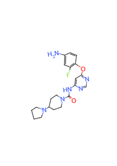 Nc1ccc(Oc2cc(NC(=O)N3CCC(N4CCCC4)CC3)ncn2)c(F)c1